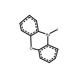 I[As]1c2ccccc2Oc2ccccc21